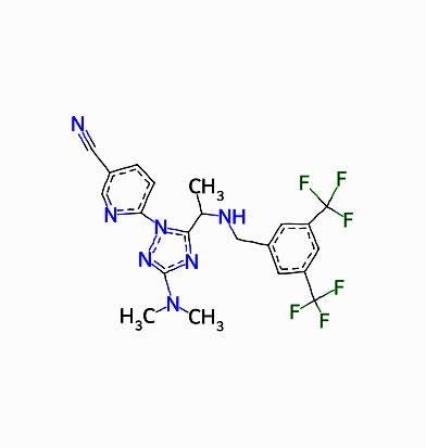 CC(NCc1cc(C(F)(F)F)cc(C(F)(F)F)c1)c1nc(N(C)C)nn1-c1ccc(C#N)cn1